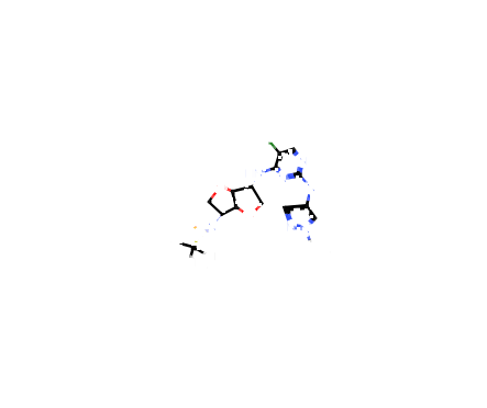 Cn1cc(Nc2ncc(Cl)c(N[C@@H]3COC4C3OC[C@@H]4N[S+]([O-])C(C)(C)C)n2)cn1